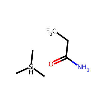 C[SiH](C)C.NC(=O)CC(F)(F)F